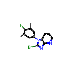 Cc1cc(-n2c(Br)nc3ncccc32)cc(C)c1F